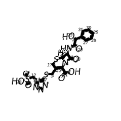 O=C(O)C1=C(CSc2nnnn2CS(=O)(=O)O)CS[C@@H]2[C@H](NC(=O)C(O)c3ccccc3)C(=O)N12